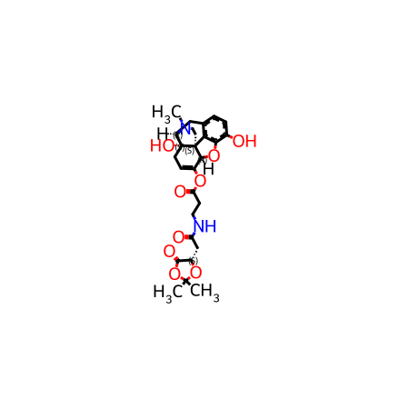 CN1CC[C@]23c4c5ccc(O)c4O[C@H]2C(OC(=O)CCNC(=O)C[C@@H]2OC(C)(C)OC2=O)=CC[C@@]3(O)[C@H]1C5